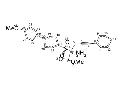 COC(=O)C(N)(CC#Cc1ccccc1)S(=O)(=O)c1ccc(-c2ccc(OC)cc2)cc1